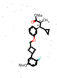 COC(=O)[C@@H](C)[C@H](c1cccc(OCC2CC(c3cc(OC)ccc3F)C2)c1)C1CC1